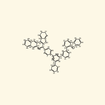 C1=c2sc3c(-c4ccc(-c5nc(-c6ccccc6)cc(-c6cccc(-c7cccc8c7oc7ccccc78)c6)n5)cc4)nc4cc5ccccc5cc4c3c2=CCC1